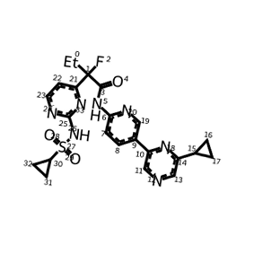 CCC(F)(C(=O)Nc1ccc(-c2cncc(C3CC3)n2)cn1)c1ccnc(NS(=O)(=O)C2CC2)n1